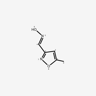 Cc1cc(/C=N/O)no1